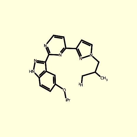 [2H]CC(C)Cn1ccc(-c2ccnc(-c3n[nH]c4ccc(OC(C)C)cc34)n2)n1